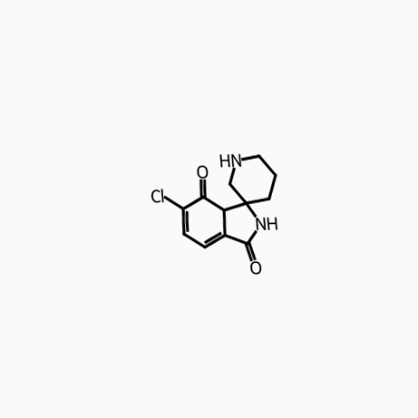 O=C1NC2(CCCNC2)C2C(=O)C(Cl)=CC=C12